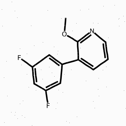 COc1ncccc1-c1cc(F)cc(F)c1